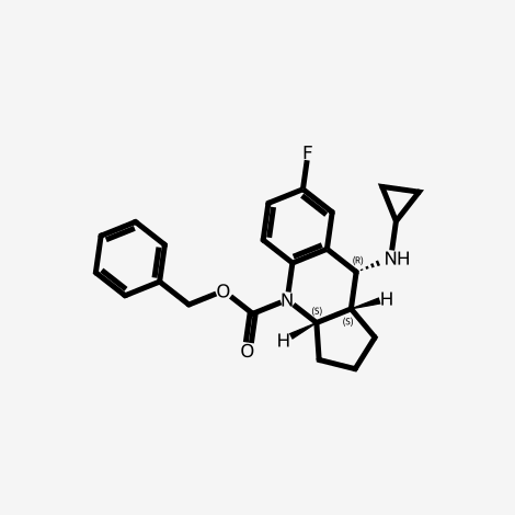 O=C(OCc1ccccc1)N1c2ccc(F)cc2[C@H](NC2CC2)[C@@H]2CCC[C@@H]21